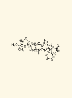 C=N/C(=N\c1c(C)cc2n1C1(CCCCC1)CNC2=O)Nc1ccc(N2CCNC(C(C)C)C2)cn1